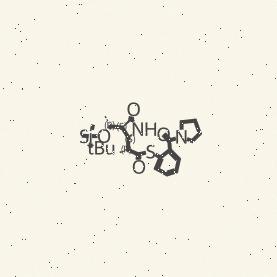 C[C@@H](O[Si](C)(C)C(C)(C)C)[C@H]1C(=O)N[C@@H]1[C@@H](C)C(=O)Sc1ccccc1C(=O)N1CCCC1